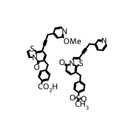 COc1cc(CC#Cc2cc(Cc3ccc(C(=O)O)cc3)c(=O)n3ccsc23)ccn1.CS(=O)(=O)c1ccc(Cc2ccc(=O)n3cc(C#CCc4cccnc4)sc23)cc1